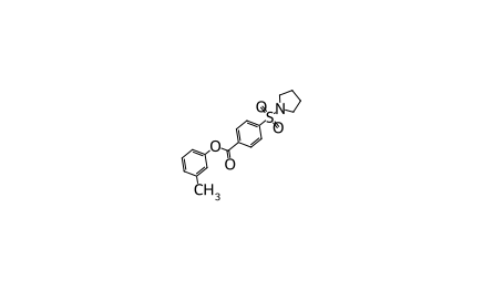 Cc1cccc(OC(=O)c2ccc(S(=O)(=O)N3CCCC3)cc2)c1